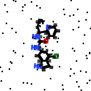 CC(C)CC(NC(=O)Nc1cc(Cl)c2cc[nH]c2c1)c1ccccn1